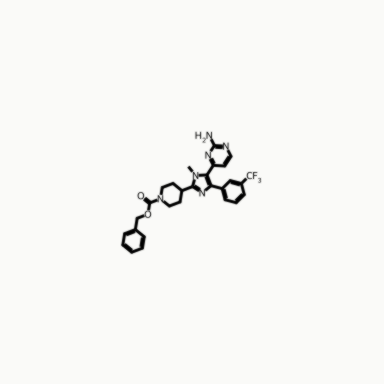 Cn1c(C2CCN(C(=O)OCc3ccccc3)CC2)nc(-c2cccc(C(F)(F)F)c2)c1-c1ccnc(N)n1